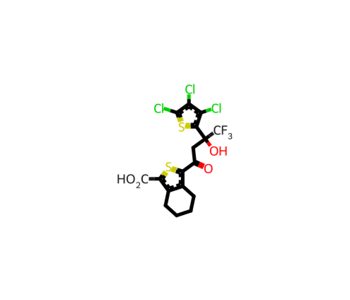 O=C(O)c1sc(C(=O)CC(O)(c2sc(Cl)c(Cl)c2Cl)C(F)(F)F)c2c1CCCC2